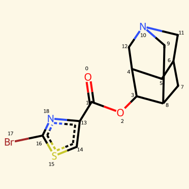 O=C(OC1C2CC3CC1CN(C3)C2)c1csc(Br)n1